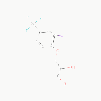 OCC(O)COc1ccc(C(F)(F)F)cc1I